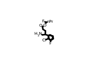 CCCC(F)OC(=O)CCC(CN)c1cccc(F)c1Cl